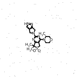 C[C@@H]1COCCN1c1nc(N2Cc3c[nH]nc3C2)nc2c1CS(=O)(=O)C2(C)C